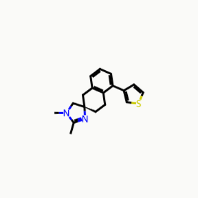 CC1=N[C@]2(CCc3c(cccc3-c3ccsc3)C2)CN1C